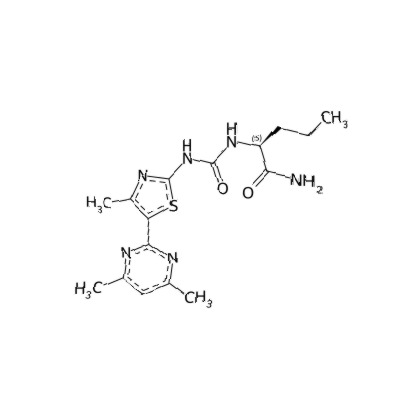 CCC[C@H](NC(=O)Nc1nc(C)c(-c2nc(C)cc(C)n2)s1)C(N)=O